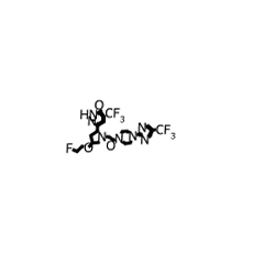 O=C(CN1CC(OCCF)CC1c1cc(C(F)(F)F)c(=O)[nH]n1)N1CCN(c2ncc(C(F)(F)F)cn2)CC1